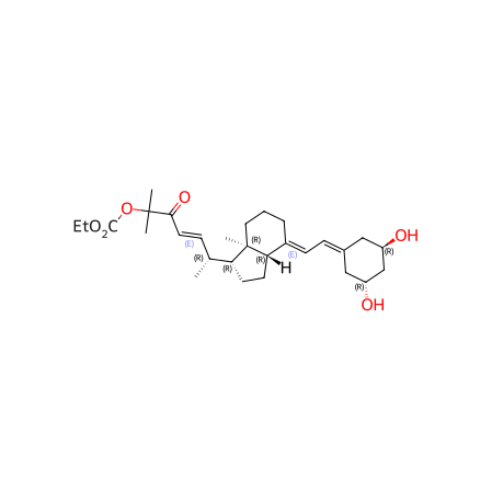 CCOC(=O)OC(C)(C)C(=O)/C=C/[C@@H](C)[C@H]1CC[C@H]2/C(=C/C=C3C[C@@H](O)C[C@H](O)C3)CCC[C@]12C